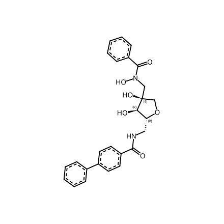 O=C(NC[C@H]1OC[C@@](O)(CN(O)C(=O)c2ccccc2)[C@@H]1O)c1ccc(-c2ccccc2)cc1